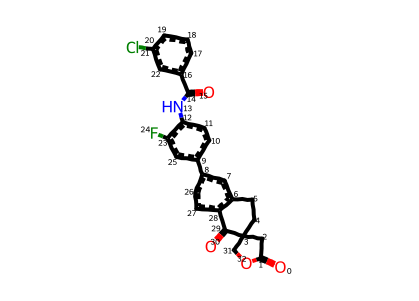 O=C1CC2(CCc3cc(-c4ccc(NC(=O)c5cccc(Cl)c5)c(F)c4)ccc3C2=O)CO1